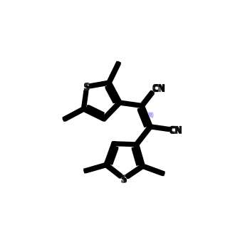 Cc1cc(/C(C#N)=C(/C#N)c2cc(C)sc2C)c(C)s1